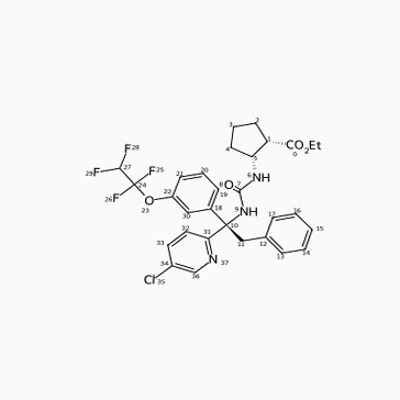 CCOC(=O)[C@H]1CCC[C@H]1NC(=O)N[C@@](Cc1ccccc1)(c1cccc(OC(F)(F)C(F)F)c1)c1ccc(Cl)cn1